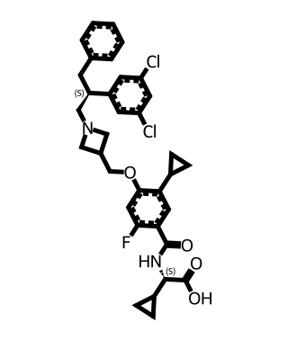 O=C(N[C@H](C(=O)O)C1CC1)c1cc(C2CC2)c(OCC2CN(C[C@@H](Cc3ccccc3)c3cc(Cl)cc(Cl)c3)C2)cc1F